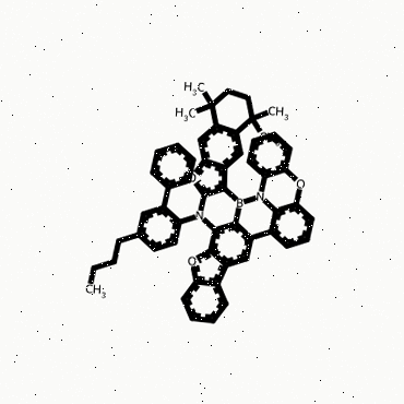 CCCCc1ccc(N2c3oc4cc5c(cc4c3B3c4c(cc6c(oc7ccccc76)c42)-c2cccc4c2N3c2ccccc2O4)C(C)(C)CCC5(C)C)c(-c2ccccc2)c1